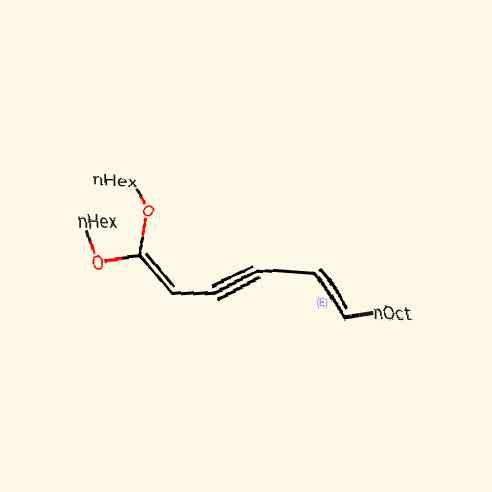 CCCCCCCC/C=C/C#CC=C(OCCCCCC)OCCCCCC